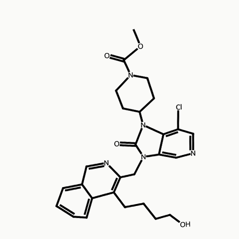 COC(=O)N1CCC(n2c(=O)n(Cc3ncc4ccccc4c3CCCCO)c3cncc(Cl)c32)CC1